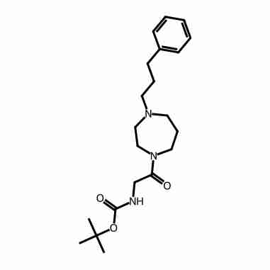 CC(C)(C)OC(=O)NCC(=O)N1CCCN(CCCc2ccccc2)CC1